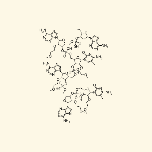 CC[C@H]1O[C@@H](n2cnc3c(N)ncnc32)CC1OP(=O)(S)OC[C@H]1O[C@@H](n2cnc3c(N)ncnc32)[C@@H](OCCOC)C1OP(=O)(O)OC[C@H]1O[C@@H](n2cc(C)c(N)nc2=O)[C@@H](OCCOC)C1OP(=O)(O)OC[C@H]1O[C@@H](n2cnc3c(N)ncnc32)[C@@H](OCCOC)C1OP(=O)(S)OC[C@H]1O[C@@H](n2cnc3c(N)ncnc32)[C@@H](OCCOC)C1OP(=O)(S)OC[C@H]1O[C@@H](n2cc(C)c(N)nc2=O)[C@@H](OCCOC)C1O